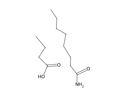 CCCC(=O)O.CCCCCCCC(N)=O